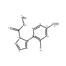 CC(C)(C)OC(=O)n1cccc1-c1ccc(C=O)cc1F